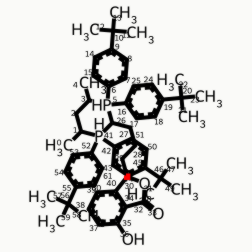 CC1CC(C)[PH](c2ccc(C(C)(C)C)cc2)(c2ccc(C(C)(C)C)cc2)C(CCCC2OC(=O)c3c(O)cccc32)[PH]1(c1ccc(C(C)(C)C)cc1)c1ccc(C(C)(C)C)cc1